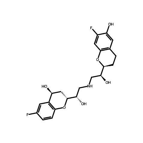 Oc1cc2c(cc1F)O[C@H]([C@@H](O)CNC[C@H](O)[C@H]1C[C@H](O)c3cc(F)ccc3O1)CC2